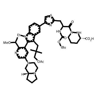 CCn1c(-c2cc(N3CCN4CCC[C@@H]4C3)cnc2C(C)OC)c(CC(C)(C)COC(C)=O)c2cc(-c3csc(CC(NC(=O)OC(C)(C)C)C(=O)N4CCC[C@@H](C(=O)O)N4)n3)ccc21